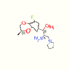 C[C@H]1COc2c(F)cc([C@@H](O)[C@H](N)CN3CCCC3)cc2O1